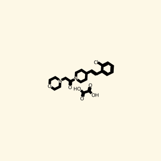 O=C(CN1CCOCC1)N1CCC(/C=C/c2ccccc2Cl)CC1.O=C(O)C(=O)O